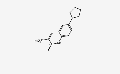 C=C(C(=O)OCC)[C@H](C)Nc1ccc(C2CCCC2)cc1